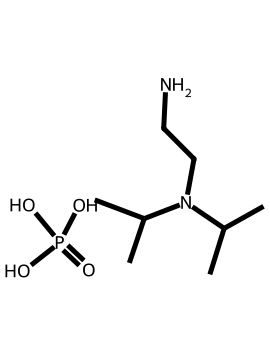 CC(C)N(CCN)C(C)C.O=P(O)(O)O